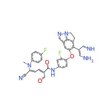 CN(/C(C#N)=C\C=C(/C=O)C(=O)Nc1ccc(Oc2cc3cnn4c3c(c2/C(C=N)=C/N)CC4)c(F)c1)c1ccc(F)cc1